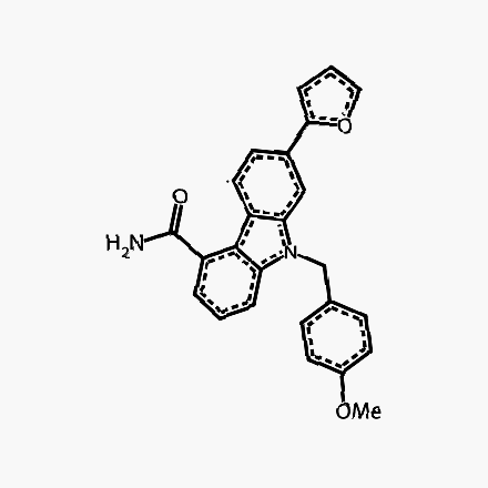 COc1ccc(Cn2c3cc(-c4ccco4)c[c]c3c3c(C(N)=O)cccc32)cc1